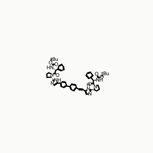 CC(C)(C)OC(=O)N[C@@H](C(=O)N1CCC[C@H]1c1ncc(C#Cc2ccc(-c3ccc(-c4cnc([C@@H]5CCCN5C(=O)[C@H](NC(=O)OC(C)(C)C)c5ccccc5)[nH]4)cc3)cc2)[nH]1)c1ccccc1